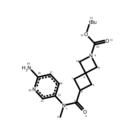 CN(C(=O)C1CC2(C1)CN(C(=O)OC(C)(C)C)C2)c1ccc(N)nc1